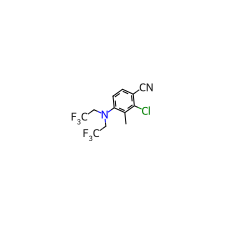 Cc1c(N(CC(F)(F)F)CC(F)(F)F)ccc(C#N)c1Cl